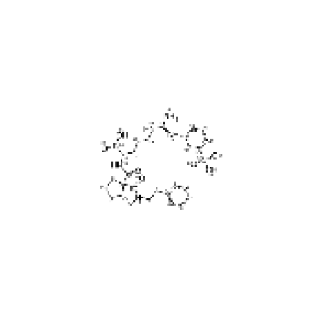 CN(CCc1ccccc1)C(=O)C1(C(=O)NC(CCCNC(=N)N)B(O)O)CCCC1.O=S(=O)(O)c1ccccc1